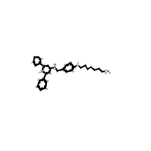 CCCCCCCCOc1ccc(CNc2cc(-c3ccccc3)nc(-c3ccccc3)c2)cc1